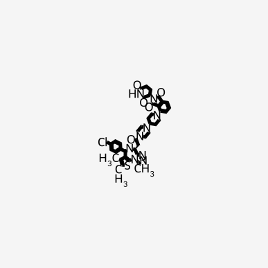 Cc1sc2c(c1C)C(c1ccc(Cl)cc1)=N[C@@H](CC(=O)N1CCN(C3CCN(c4cccc5c4C(=O)N(C4CCC(=O)NC4=O)C5=O)CC3)CC1)c1nnc(C)n1-2